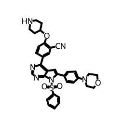 N#Cc1cc(-c2ncnc3c2cc(-c2ccc(N4CCOCC4)cc2)n3S(=O)(=O)c2ccccc2)ccc1OC1CCNCC1